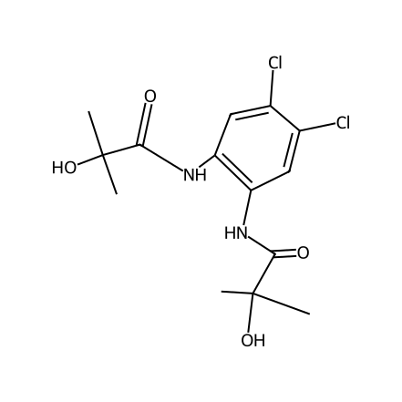 CC(C)(O)C(=O)Nc1cc(Cl)c(Cl)cc1NC(=O)C(C)(C)O